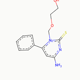 Nc1cc(-c2ccccc2)n(COCCO)c(=S)n1